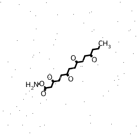 CCCC(=O)CCC(=O)CCC(=O)CCC(=O)CC(=O)ON